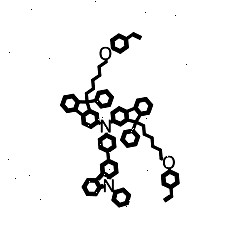 C=Cc1ccc(OCCCCCCC2(c3ccccc3)c3ccccc3-c3ccc(N(c4ccc(-c5ccc6c(c5)c5ccccc5n6-c5ccccc5)cc4)c4ccc5c(c4)C(CCCCCCOc4ccc(C=C)cc4)(c4ccccc4)c4ccccc4-5)cc32)cc1